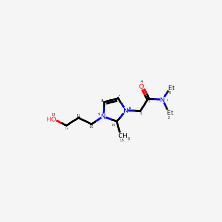 CCN(CC)C(=O)CN1C=CN(CCCO)C1C